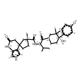 CC(C)[C@@H](NC(=O)[C@]1(C)CCC2(CC(=O)Nc3n[nH]cc32)C1)C(=O)N1CC[C@](O)(c2ccc(Cl)cc2)C(C)(C)C1